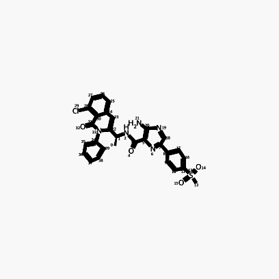 C[C@H](NC(=O)c1nc(-c2ccc(S(C)(=O)=O)cc2)cnc1N)c1cc2cccc(Cl)c2c(=O)n1-c1ccccc1